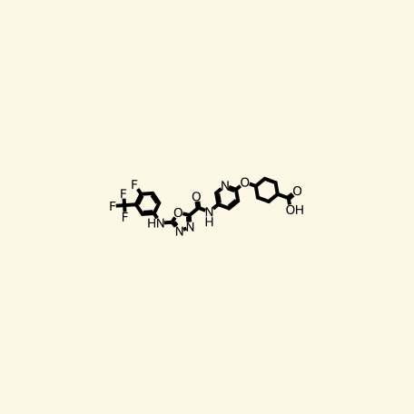 O=C(Nc1ccc(OC2CCC(C(=O)O)CC2)nc1)c1nnc(Nc2ccc(F)c(C(F)(F)F)c2)o1